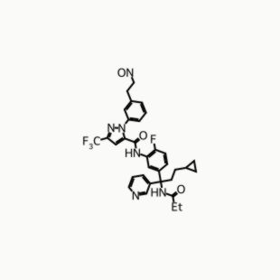 CCC(=O)NC(CCC1CC1)(c1cccnc1)c1ccc(F)c(NC(=O)c2cc(C(F)(F)F)nn2-c2cccc(CCN=O)c2)c1